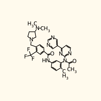 CC(=O)N(c1nccc(-c2cncnc2)n1)c1cc(NC(=O)c2ccc(CN3CC[C@@H](N(C)C)C3)c(C(F)(F)F)c2)ccc1C